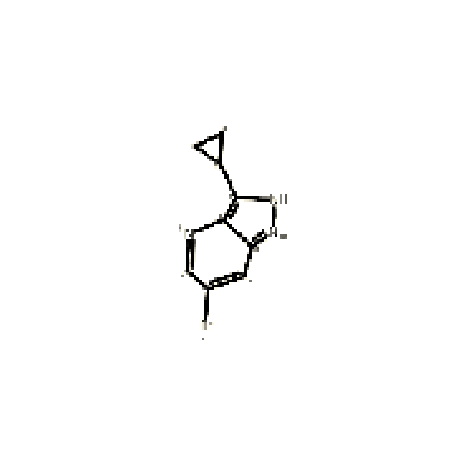 Brc1cnc2c(C3CC3)[nH]nc2c1